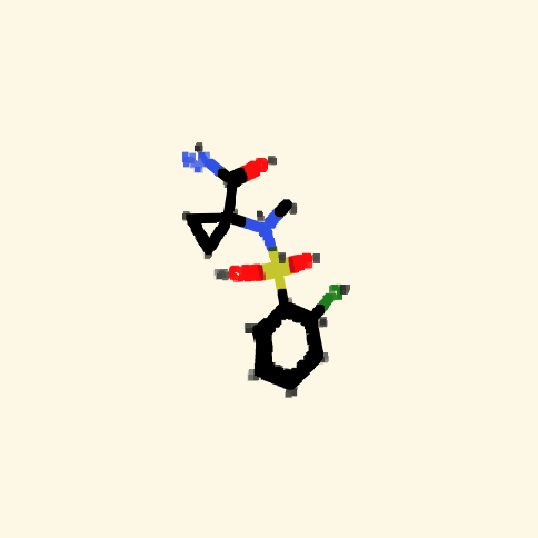 CN(C1(C(N)=O)CC1)S(=O)(=O)c1ccccc1Cl